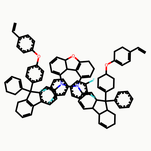 C=CC1=CC=C(OC2CC=C(C3(c4ccccc4)C4C=C(N(C5=CCCC6=C5C5C(N(c7ccc(F)c(F)c7)c7ccc8c(c7)C(C7=CC=CCC7)(c7ccc(Oc9ccc(C=C)cc9)cc7)C7=C8C=CCC7)=CC=CC5O6)c5ccc(F)c(F)c5)C=CC4C4C=CCCC43)CC2)CC1